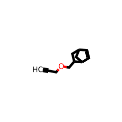 C#CCOCC1CC2C=CC1C2